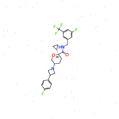 O=C(NCc1cc(F)cc(C(F)(F)F)c1)[C@@]1(C2CC2)CCC(N2CC(c3ccc(F)cc3)C2)CO1